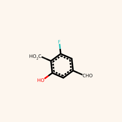 O=Cc1cc(O)c(C(=O)O)c(F)c1